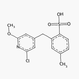 COc1cc(Cc2cc(C)ccc2S(=O)(=O)O)cc(Cl)n1